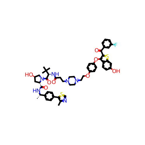 Cc1ncsc1-c1ccc([C@H](C)NC(=O)[C@@H]2C[C@@H](O)CN2C(=O)[C@@H](NC(=O)CCN2CCN(CCOc3ccc(Oc4c(C(=O)c5cccc(F)c5)sc5cc(O)ccc45)cc3)CC2)C(C)(C)C)cc1